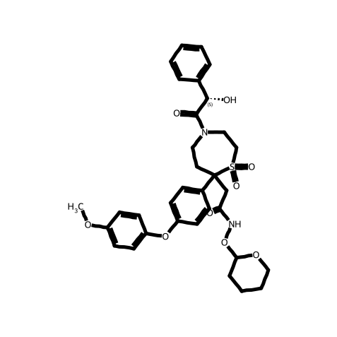 COc1ccc(Oc2ccc(C3(CC(=O)NOC4CCCCO4)CCN(C(=O)[C@@H](O)c4ccccc4)CCS3(=O)=O)cc2)cc1